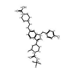 CC1CC(c2nn(Cc3ccc(Cl)cc3)c3cc(CCC4CCN(C(=O)O)CC4)ccc23)CCN1C(=O)OC(C)(C)C